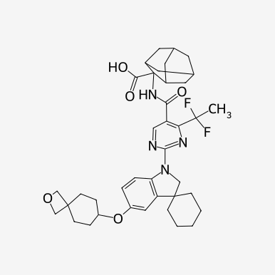 CC(F)(F)c1nc(N2CC3(CCCCC3)c3cc(OC4CCC5(CC4)COC5)ccc32)ncc1C(=O)NC1(C(=O)O)C2CC3CC(C2)CC1C3